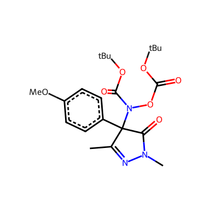 COc1ccc(C2(N(OC(=O)OC(C)(C)C)C(=O)OC(C)(C)C)C(=O)N(C)N=C2C)cc1